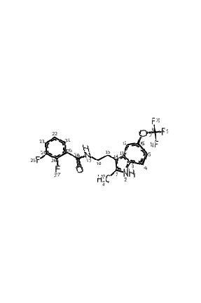 Cc1[nH]c2ccc(OC(F)(F)F)cc2c1CCNC(=O)c1cccc(F)c1F